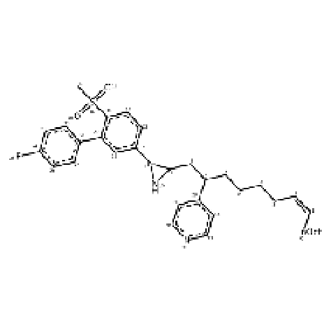 CCCCCCCC/C=C\CCCCC(CC1NN1c1ccc(S(C)(=O)=O)c(-c2ccc(F)cc2)c1)c1ccncc1